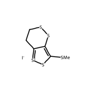 CSc1s[s+]c2c1SSCC2.[I-]